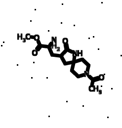 COC(=O)C(N)CC1CC2(CCN(C(C)=O)CC2)NC1=O